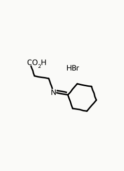 Br.O=C(O)CCN=C1CCCCC1